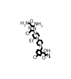 CC[C@H]1CN(c2nc(N)c(C(N)=O)nc2Cl)CCN1C1CCN(Cc2ccc(Cl)cc2C(O)C(=O)N(C)C)CC1